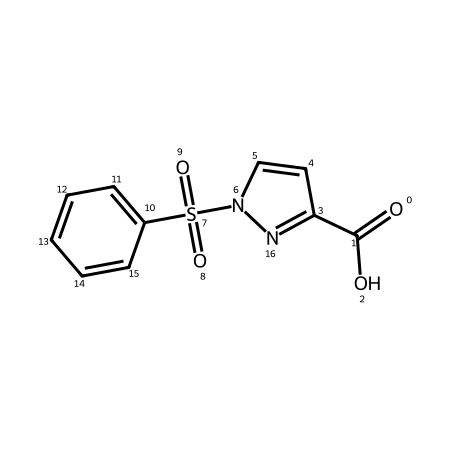 O=C(O)c1ccn(S(=O)(=O)c2ccccc2)n1